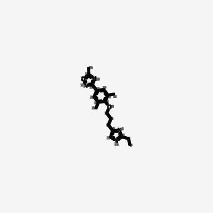 CCc1nc(CCCOc2c(C)cc(-c3noc(C)n3)cc2C)cs1